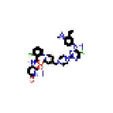 C=Cc1cc(Nc2nc(N3CCN(CC4CCN(c5cccc(F)c5C(=O)NC5CCC(=O)NC5=O)CC4)CC3)ncc2Cl)ccc1N(C)C